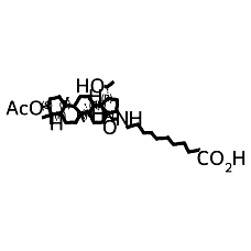 CC(=O)O[C@H]1CC[C@]2(C)C3CC[C@@H]4[C@H]5[C@H](C(C)O)CC[C@]5(C(=O)NCCCCCCCCCCC(=O)O)CC[C@@]4(C)[C@]3(C)CC[C@H]2C1(C)C